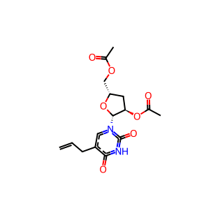 C=CCc1cn([C@@H]2O[C@H](COC(C)=O)C[C@H]2OC(C)=O)c(=O)[nH]c1=O